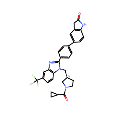 O=C1Cc2cc(-c3ccc(-c4nc5cc(C(F)(F)F)ccc5n4C[C@H]4CCN(C(=O)C5CC5)C4)cc3)ccc2N1